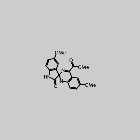 COC(=O)C1=NC2(Nc3ccc(OC)cc31)C(=O)Nc1ccc(OC)cc12